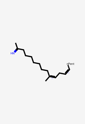 CCCCC/C=C\C/C=C(/C)CCCCCCCC(C)=N